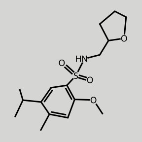 COc1cc(C)c(C(C)C)cc1S(=O)(=O)NCC1CCCO1